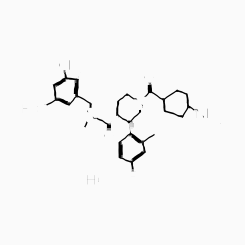 Cc1cc(F)ccc1[C@@H]1CN(C(=O)C2CCC(N)CC2)CC[C@H]1C(=O)N(C)Cc1cc(C(F)(F)F)cc(C(F)(F)F)c1.Cl